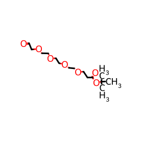 CC(C)(C)OC(=O)CCOCCOCCOCCOCC=O